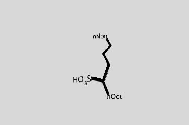 CCCCCCCCCCCCC(CCCCCCCC)S(=O)(=O)O